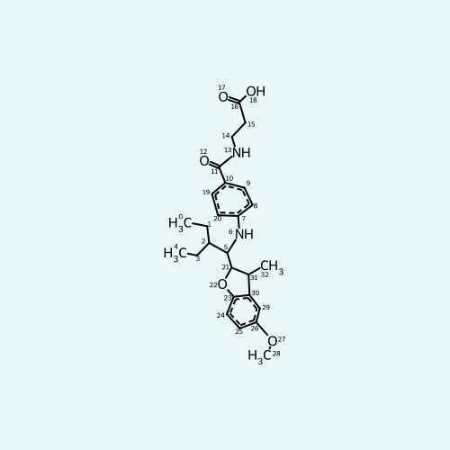 CCC(CC)C(Nc1ccc(C(=O)NCCC(=O)O)cc1)C1Oc2ccc(OC)cc2C1C